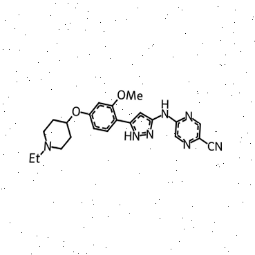 CCN1CCC(Oc2ccc(-c3cc(Nc4cnc(C#N)cn4)n[nH]3)c(OC)c2)CC1